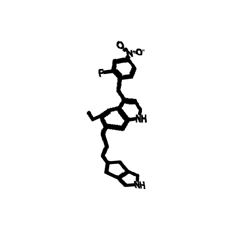 CCc1cc2c(cc1CCCC1CC3CNCC3C1)NCC=C2Cc1ccc([N+](=O)[O-])cc1F